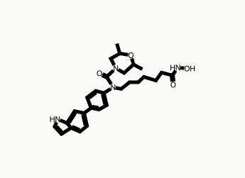 CC1CN(C(=O)N(CCCCCCC(=O)NO)c2ccc(-c3ccc4cc[nH]c4c3)cc2)CC(C)O1